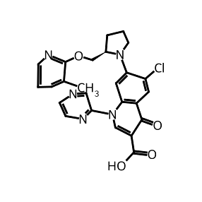 Cc1cccnc1OC[C@H]1CCCN1c1cc2c(cc1Cl)c(=O)c(C(=O)O)cn2-c1cnccn1